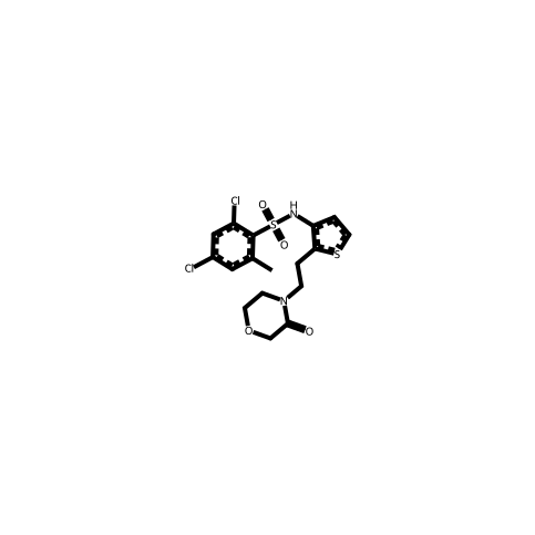 Cc1cc(Cl)cc(Cl)c1S(=O)(=O)Nc1ccsc1CCN1CCOCC1=O